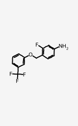 Nc1ccc(COc2cccc(C(F)(F)F)c2)c(F)c1